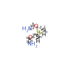 C[SiH](C)C(CCOC(C)(C)CN)SSC(CCOC(C)(C)CN)[SiH](C)C